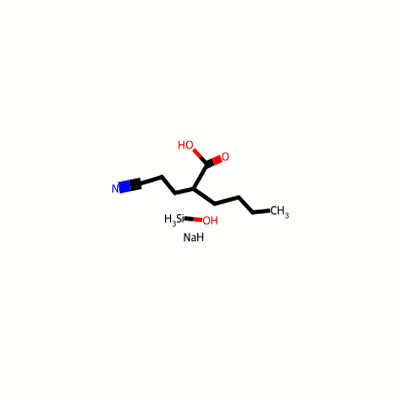 CCCCC(CCC#N)C(=O)O.O[SiH3].[NaH]